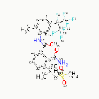 Cc1ccc(C(F)(C(F)(F)F)C(F)(F)F)cc1NC(=O)c1cccc(C(C)(C)CS(C)(=O)=O)c1C(N)=O